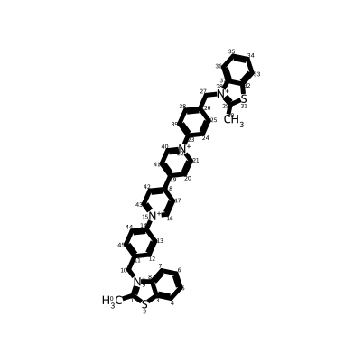 Cc1sc2ccccc2[n+]1Cc1ccc(-[n+]2ccc(-c3cc[n+](-c4ccc(C[n+]5c(C)sc6ccccc65)cc4)cc3)cc2)cc1